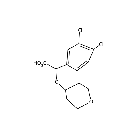 O=C(O)C(OC1CCOCC1)c1ccc(Cl)c(Cl)c1